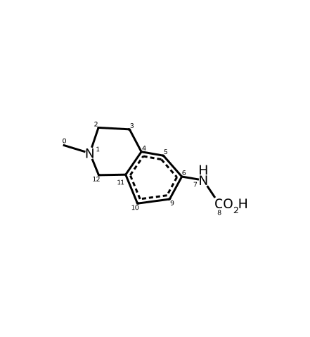 CN1CCc2cc(NC(=O)O)ccc2C1